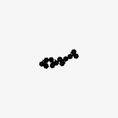 C1=CC2C3=C(C=CCC3)N(c3ccc(-c4ccc(N5C6=C(CCC=C6)C6C(c7ccc8c9ccccc9n(-c9cccc(-c%10cccc(-n%11c%12ccccc%12c%12ccccc%12%11)c%10)c9)c8c7)=CC=CC65)cc4)cc3)C2C=C1